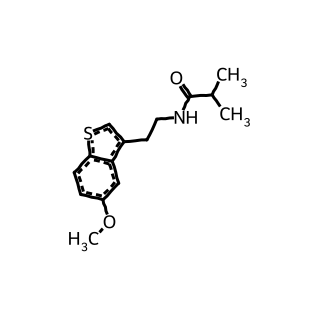 COc1ccc2scc(CCNC(=O)C(C)C)c2c1